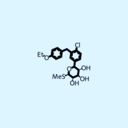 CCOc1ccc(Cc2cc(C3O[C@H](SC)[C@@H](O)[C@H](O)[C@H]3O)ccc2Cl)cc1